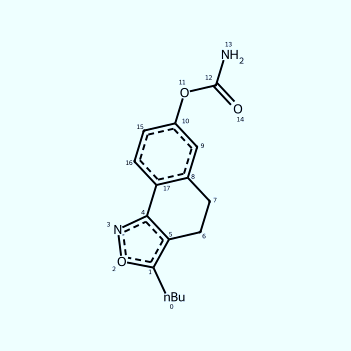 CCCCc1onc2c1CCc1cc(OC(N)=O)ccc1-2